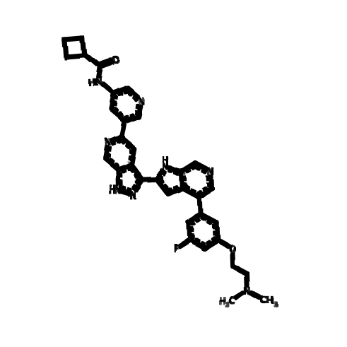 CN(C)CCOc1cc(F)cc(-c2cncc3[nH]c(-c4n[nH]c5cnc(-c6cncc(NC(=O)C7CCC7)c6)cc45)cc23)c1